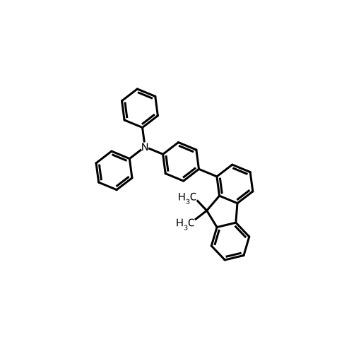 CC1(C)c2ccccc2-c2cccc(-c3ccc(N(c4ccccc4)c4ccccc4)cc3)c21